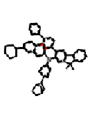 CC1(C)c2ccccc2-c2cc(-c3ccc(-c4ccccc4)cc3)c(N(c3ccc(C4CC5CCC4C5)cc3)c3ccc4ccc(C5CCCCC5)cc4c3)cc21